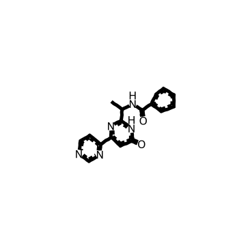 CC(NC(=O)c1ccccc1)c1nc(-c2ccncn2)cc(=O)[nH]1